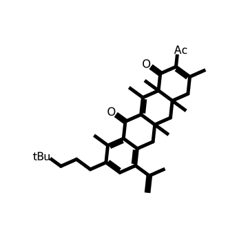 C=C(C)c1cc(CCCC(C)(C)C)c(C)c2c1CC1(C)CC3(C)CC(C)=C(C(C)=O)C(=O)C3(C)C(C)=C1C2=O